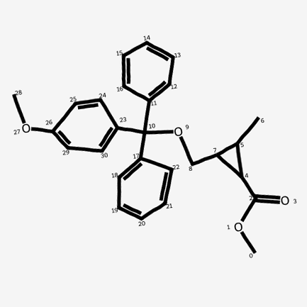 COC(=O)C1C(C)C1COC(c1ccccc1)(c1ccccc1)c1ccc(OC)cc1